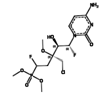 CO[C@](CCl)(CC(F)P(=O)(OC)OC)[C@@H](O)[C@@H](F)n1ccc(N)nc1=O